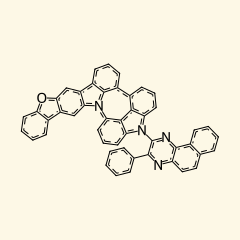 c1ccc(-c2nc3ccc4ccccc4c3nc2-n2c3cccc4c5cccc6c7cc8oc9ccccc9c8cc7n(c7cccc2c7c43)c56)cc1